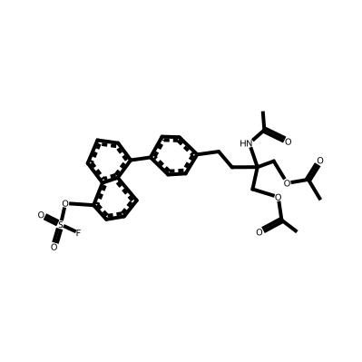 CC(=O)NC(CCc1ccc(-c2cccc3c(OS(=O)(=O)F)cccc23)cc1)(COC(C)=O)COC(C)=O